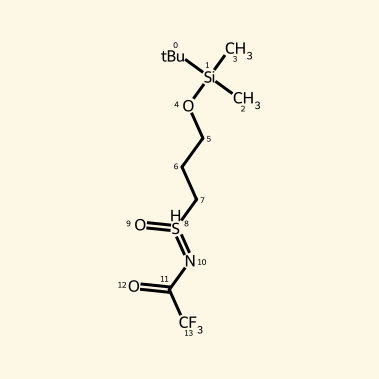 CC(C)(C)[Si](C)(C)OCCC/[SH](=O)=N/C(=O)C(F)(F)F